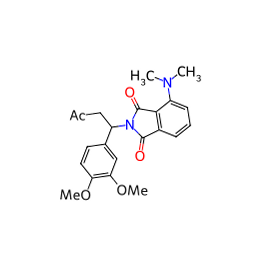 COc1ccc(C(CC(C)=O)N2C(=O)c3cccc(N(C)C)c3C2=O)cc1OC